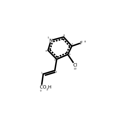 O=C(O)C=Cc1cncc(F)c1Cl